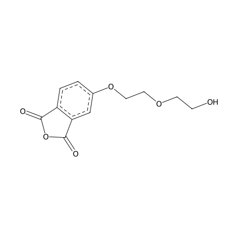 O=C1OC(=O)c2cc(OCCOCCO)ccc21